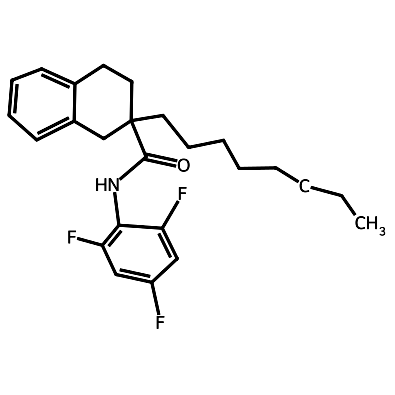 CCCCCCCCC1(C(=O)Nc2c(F)cc(F)cc2F)CCc2ccccc2C1